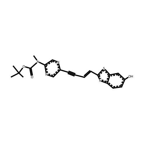 CN(C(=O)OC(C)(C)C)c1cnc(C#C/C=C/c2nc3ccc(O)cc3s2)cn1